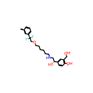 Cc1cccc(C(F)(F)COCCCCCCNC[C@@H](O)c2ccc(O)c(CO)c2)c1